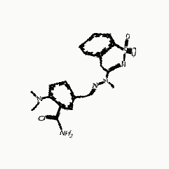 CN(/N=C/c1ccc(N(C)C)c(C(N)=O)c1)C1=NS(=O)(=O)c2ccccc21